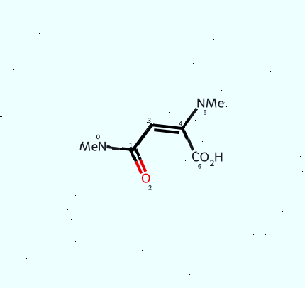 CNC(=O)/C=C(/NC)C(=O)O